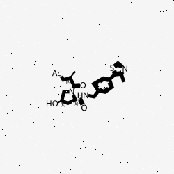 CC(=O)C[C@@H](C)C(=O)N1C[C@H](O)C[C@H]1C(=O)NCc1ccc(-c2scnc2C)cc1